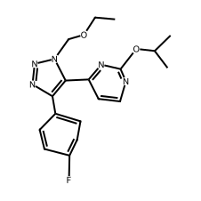 CCOCn1nnc(-c2ccc(F)cc2)c1-c1ccnc(OC(C)C)n1